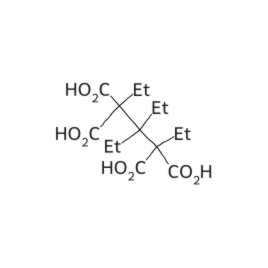 CCC(C(=O)O)(C(=O)O)C(CC)(CC)C(CC)(C(=O)O)C(=O)O